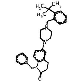 CC(C)(C)c1ccccc1CN1CCN(c2ccc3c(c2)CCC(=O)N3Cc2ccccc2)CC1